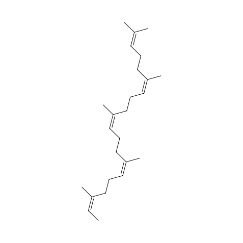 CC=C(C)CCC=C(C)CCC=C(C)CCC=C(C)CCC=C(C)C